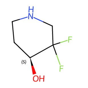 O[C@H]1CCNCC1(F)F